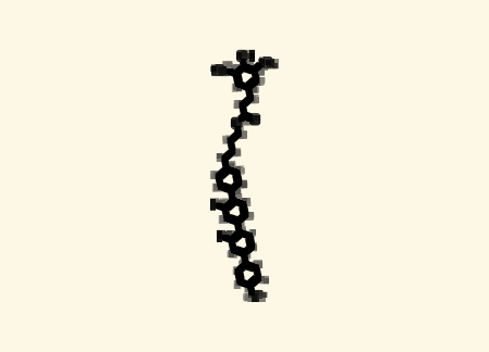 CCCc1ccc(-c2ccc(-c3ccc(-c4ccc(CCCCOC(=O)CCc5cc(C(C)(C)C)c(O)c(C(C)(C)C)c5)cc4)c(F)c3)c(F)c2)cc1